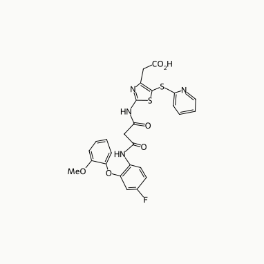 COc1ccccc1Oc1cc(F)ccc1NC(=O)CC(=O)Nc1nc(CC(=O)O)c(Sc2ccccn2)s1